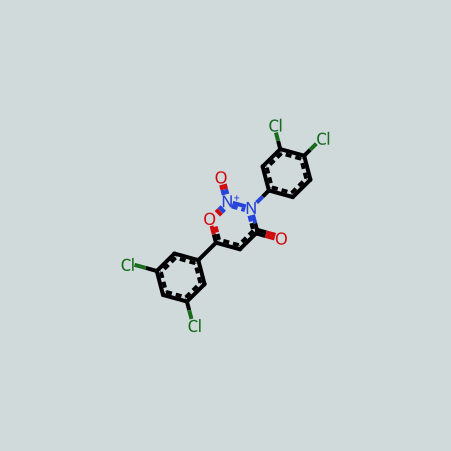 O=c1cc(-c2cc(Cl)cc(Cl)c2)o[n+](=O)n1-c1ccc(Cl)c(Cl)c1